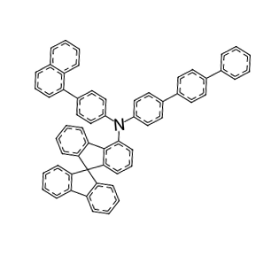 c1ccc(-c2ccc(-c3ccc(N(c4ccc(-c5cccc6ccccc56)cc4)c4cccc5c4-c4ccccc4C54c5ccccc5-c5ccccc54)cc3)cc2)cc1